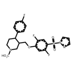 O=C(O)N1CCC(c2ccc(F)cc2)C(COc2cc(F)c(S(=O)(=O)n3cccn3)cc2F)C1